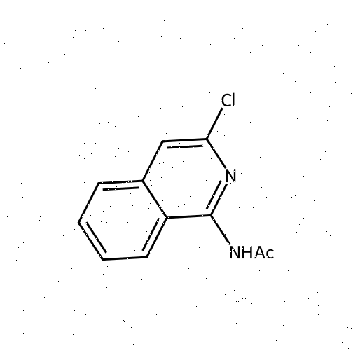 CC(=O)Nc1nc(Cl)cc2ccccc12